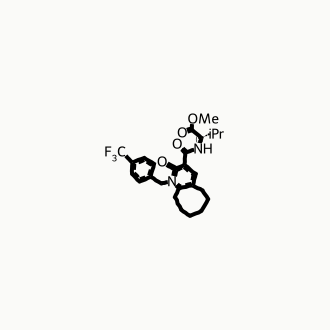 COC(=O)[C@@H](NC(=O)c1cc2c(n(Cc3ccc(C(F)(F)F)cc3)c1=O)CCCCCC2)C(C)C